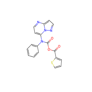 O=C(OC(=O)N(c1ccccc1)c1ccnc2ccnn12)c1cccs1